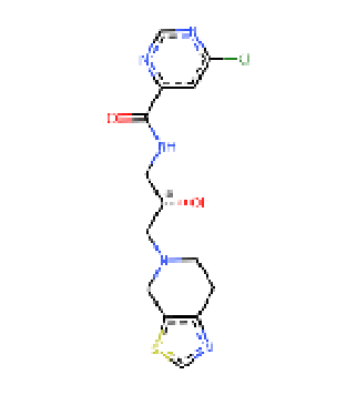 O=C(NC[C@H](O)CN1CCc2ncsc2C1)c1cc(Cl)ncn1